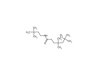 CC(C)(C)CCNC(=O)CCC(C)(C)CC(C)(C)C